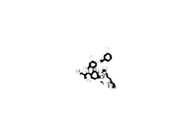 CCOc1cc2ncc(C#N)c(Nc3ccc(OCc4cccc(F)c4)c(Cl)c3)c2cc1NS(=O)(=O)CCCC1CCSS1